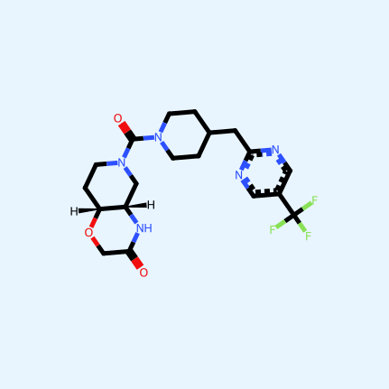 O=C1CO[C@@H]2CCN(C(=O)N3CCC(Cc4ncc(C(F)(F)F)cn4)CC3)C[C@@H]2N1